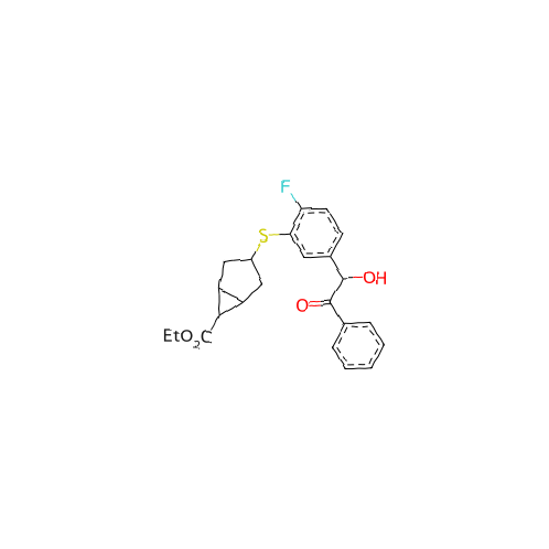 CCOC(=O)C1C2CC(Sc3cc(C(O)C(=O)c4ccccc4)ccc3F)CC21